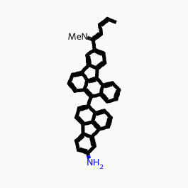 C/C=C\C=C(/NC)c1ccc2c(c1)-c1cccc3c(-c4ccc5c6c(cccc46)-c4cc(N)ccc4-5)c4ccccc4c-2c13